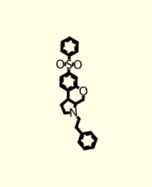 O=S(=O)(c1ccccc1)c1ccc2c(c1)OCC1C2CCN1CCc1ccccc1